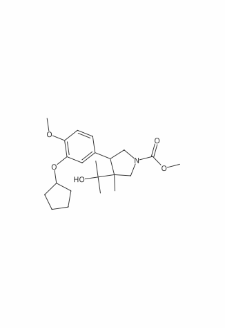 COC(=O)N1CC(c2ccc(OC)c(OC3CCCC3)c2)C(C)(C(C)(C)O)C1